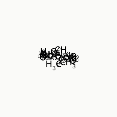 CC(C)c1cc(-c2ccc(B3OCCO3)cc2)c(C(C)C)cc1-c1ccc(B2OCCO2)cc1